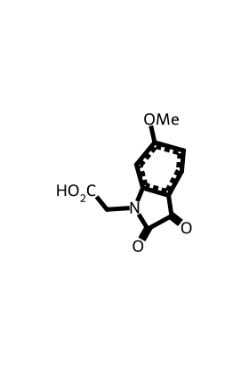 COc1ccc2c(c1)N(CC(=O)O)C(=O)C2=O